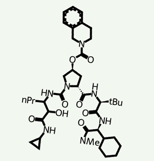 CCCC(NC(=O)N1C[C@@H](OC(=O)N2CCc3ccccc3C2)C[C@@H]1C(=O)N[C@H](C(=O)N[C@H](C(=O)NC)C1CCCCC1)C(C)(C)C)C(O)C(=O)NC1CC1